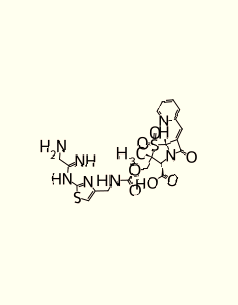 C[C@]1(COC(=O)NCc2csc(NC(=N)CN)n2)[C@H](C(=O)O)N2C(=O)/C(=C/c3ccccn3)[C@H]2S1(=O)=O